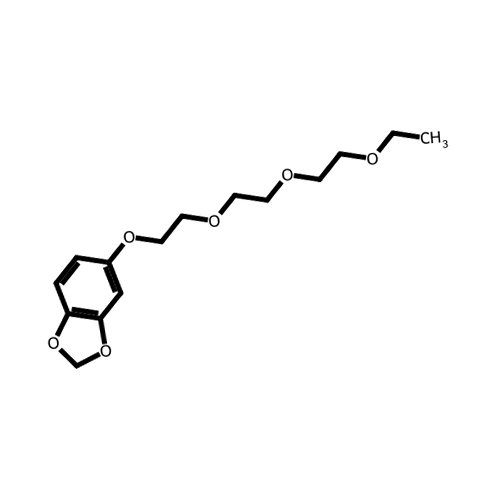 CCOCCOCCOCCOc1ccc2c(c1)OCO2